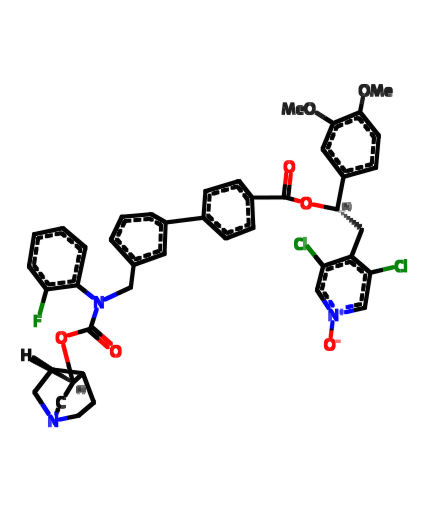 COc1ccc([C@H](Cc2c(Cl)c[n+]([O-])cc2Cl)OC(=O)c2ccc(-c3cccc(CN(C(=O)O[C@H]4CN5CCC4CC5)c4ccccc4F)c3)cc2)cc1OC